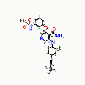 CCS(=O)(=O)Nc1cccc(Oc2cncc(Nc3ccc(C#C[Si](C)(C)C)cc3F)c2C(N)=O)c1